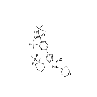 CC(C)(C)NS(=O)(=O)c1ccc(-c2sc(C(=O)NC3CCOCC3)nc2CC2(C(F)(F)F)CCCCC2)cc1C(F)(F)F